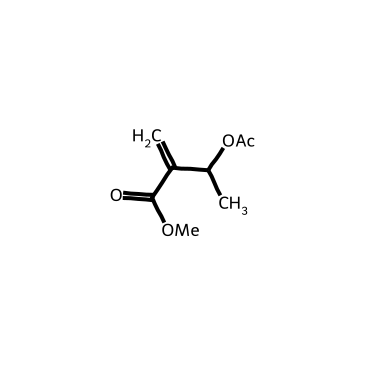 C=C(C(=O)OC)C(C)OC(C)=O